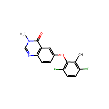 Cn1cnc2ccc(Oc3c(F)ccc(F)c3C#N)cc2c1=O